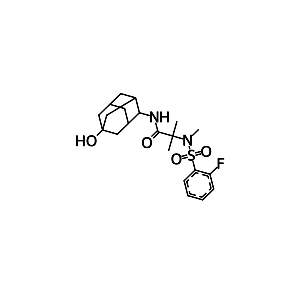 CN(C(C)(C)C(=O)NC1C2CC3CC1CC(O)(C3)C2)S(=O)(=O)c1ccccc1F